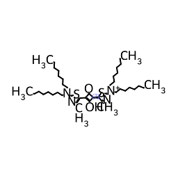 CCCCCCCCN(CCCCCCCC)c1nc(C)c(C2=C(O)/C(=C3/SC(=[N+](CCCCCCCC)CCCCCCCC)N=C3C)C2=O)s1